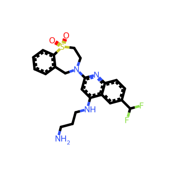 NCCCNc1cc(N2CCS(=O)(=O)c3ccccc3C2)nc2ccc(C(F)F)cc12